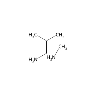 CC(C)CN.CN